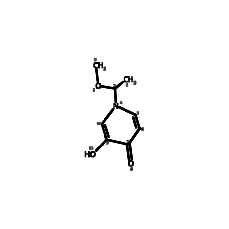 COC(C)n1ccc(=O)c(O)c1